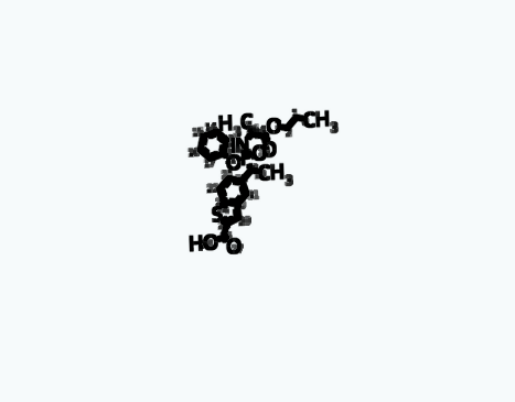 CCCOC(=O)[C@H](C)NP(=O)(Oc1ccccc1)C(C)c1ccc2sc(C(=O)O)cc2c1